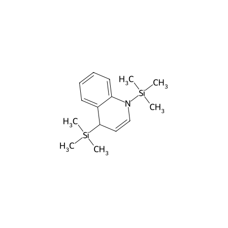 C[Si](C)(C)C1C=CN([Si](C)(C)C)c2ccccc21